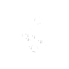 Nc1cccnc1-c1n[nH]c(SCc2ccccc2F)n1